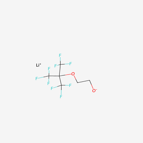 [Li+].[O-]CCOC(C(F)(F)F)(C(F)(F)F)C(F)(F)F